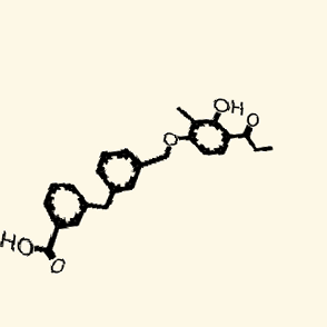 CCC(=O)c1ccc(OCc2cccc(Cc3cccc(C(=O)O)c3)c2)c(C)c1O